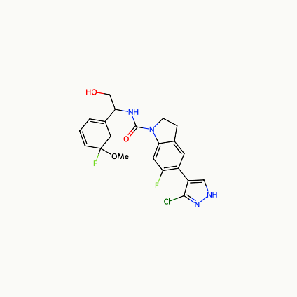 COC1(F)C=CC=C(C(CO)NC(=O)N2CCc3cc(-c4c[nH]nc4Cl)c(F)cc32)C1